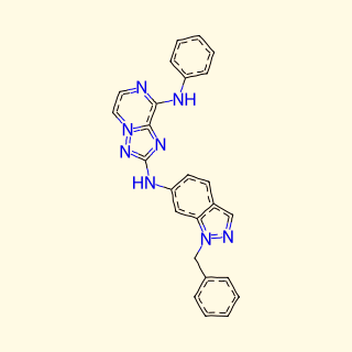 c1ccc(Cn2ncc3ccc(Nc4nc5c(Nc6ccccc6)nccn5n4)cc32)cc1